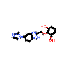 Oc1cccc(O)c1OCc1nc2cc(-n3ccnc3)ccc2[nH]1